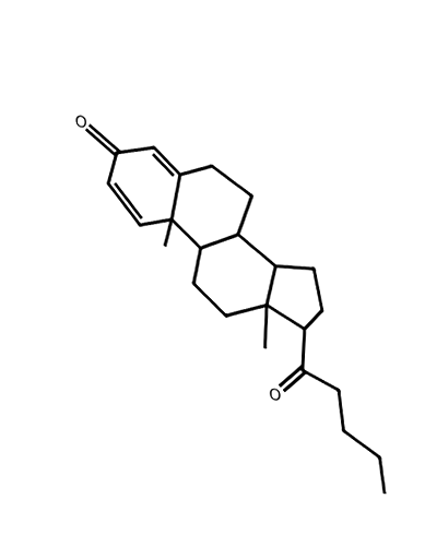 CCCCC(=O)C1CCC2C3CCC4=CC(=O)C=CC4(C)C3CCC12C